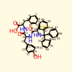 O=C(O)C(Cc1ccccc1)NC(=O)C(Cc1ccc(O)cc1)NC(=O)C(CS)NC(c1ccccc1)(c1ccccc1)c1ccccc1